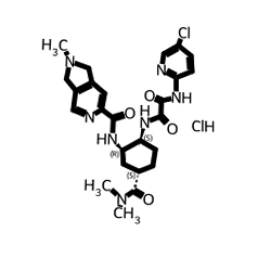 CN1Cc2cnc(C(=O)N[C@@H]3C[C@@H](C(=O)N(C)C)CC[C@@H]3NC(=O)C(=O)Nc3ccc(Cl)cn3)cc2C1.Cl